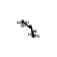 CN=C(NC#N)NCCNCCc1cc(CCNCCNC(=NC)NC#N)sn1